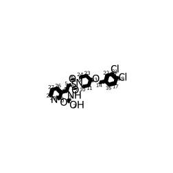 O=C(O)NC(CS(=O)(=O)N1CCC(OCc2ccc(Cl)c(Cl)c2)CC1)c1cccnc1